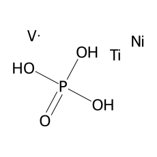 O=P(O)(O)O.[Ni].[Ti].[V]